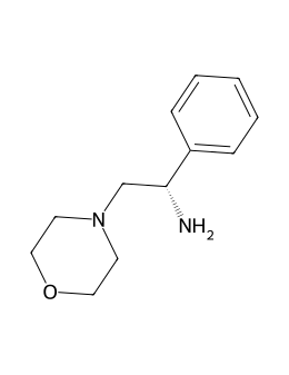 N[C@H](CN1CCOCC1)c1ccccc1